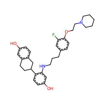 Oc1ccc2c(c1)CCC(c1ccc(O)cc1NCCCc1ccc(OCCN3CCCCC3)c(F)c1)C2